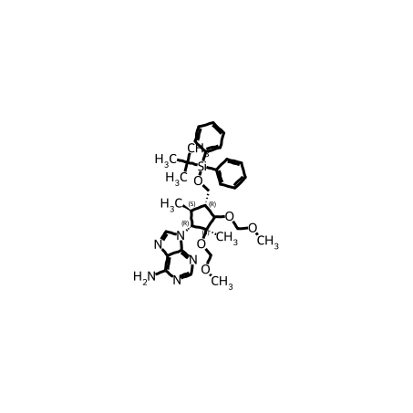 COCOC1[C@@H](CO[Si](c2ccccc2)(c2ccccc2)C(C)(C)C)[C@H](C)[C@@H](n2cnc3c(N)ncnc32)[C@]1(C)OCOC